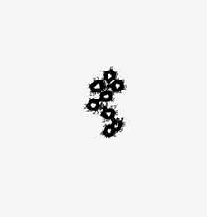 C1=C([Si](c2ccccc2)(c2ccccc2)c2ccccc2)CCc2c1c1ccccc1n2-c1ccc(-c2nccc3ccccc23)cc1